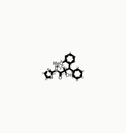 COc1ccccc1C(c1ccccc1)C(C)(C)C(=O)Nc1nccs1